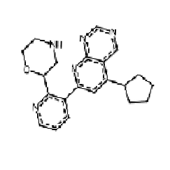 c1cnc(C2CNCCO2)c(-c2cc(C3CCCC3)c3cncnc3n2)c1